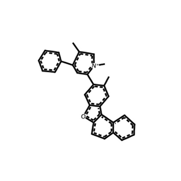 Cc1c[n+](C)c(-c2cc3oc4ccc5ccccc5c4c3cc2C)cc1-c1ccccc1